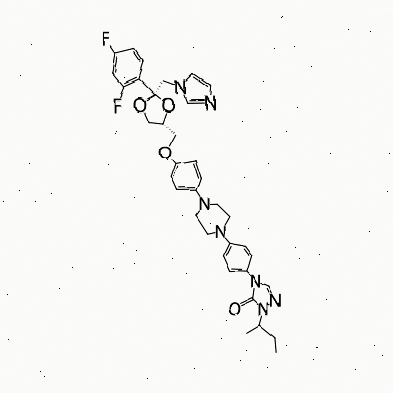 CCC(C)n1ncn(-c2ccc(N3CCN(c4ccc(OC[C@@H]5CO[C@@](Cn6ccnc6)(c6ccc(F)cc6F)O5)cc4)CC3)cc2)c1=O